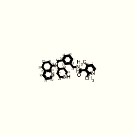 Cc1ccnc(C)c1C(=O)NCc1cccc(CN(C2CCNCC2)C2CCCc3cccnc32)c1